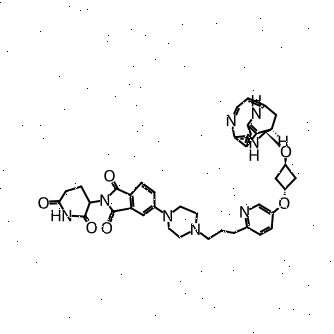 O=C1CCC(N2C(=O)c3ccc(N4CCN(CCCc5ccc(O[C@H]6C[C@H](O[C@@H]7NC=c8nccc9[nH]c%10cc8C=%10[C@H]7C9)C6)cn5)CC4)cc3C2=O)C(=O)N1